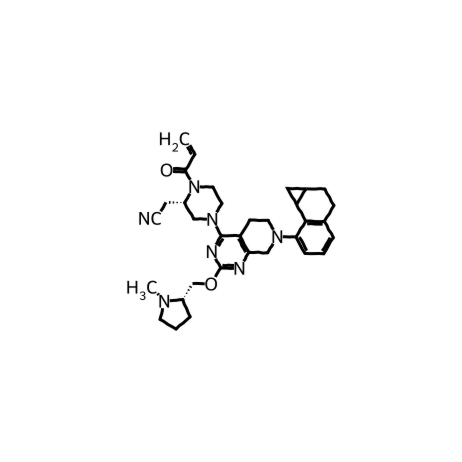 C=CC(=O)N1CCN(c2nc(OC[C@@H]3CCCN3C)nc3c2CCN(c2cccc4c2C2CC2CC4)C3)C[C@@H]1CC#N